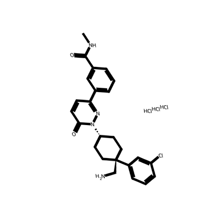 CNC(=O)c1cccc(-c2ccc(=O)n([C@H]3CC[C@@](CN)(c4cccc(Cl)c4)CC3)n2)c1.Cl.Cl.Cl